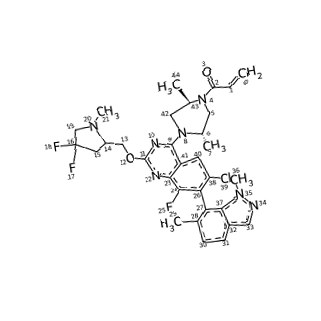 C=CC(=O)N1C[C@H](C)N(c2nc(OCC3CC(F)(F)CN3C)nc3c(F)c(-c4c(C)ccc5cnn(C)c45)c(Cl)cc23)C[C@H]1C